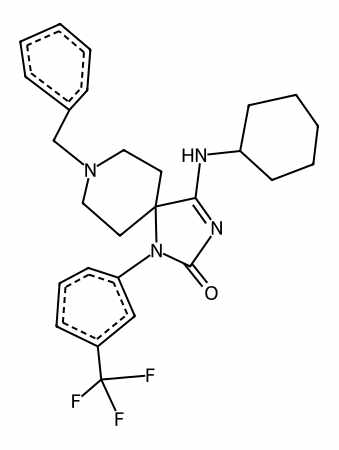 O=C1N=C(NC2CCCCC2)C2(CCN(Cc3ccccc3)CC2)N1c1cccc(C(F)(F)F)c1